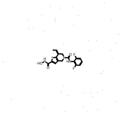 C/C=C1/CN(C(=O)Nc2c(F)cccc2F)Cc2cc(C(=O)NO)sc21